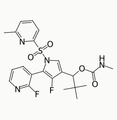 CNC(=O)OC(c1cn(S(=O)(=O)c2cccc(C)n2)c(-c2cccnc2F)c1F)C(C)(C)C